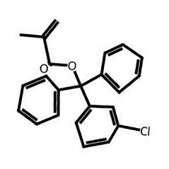 C=C(C)C(=O)OC(c1ccccc1)(c1ccccc1)c1cccc(Cl)c1